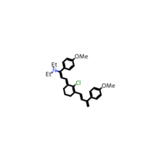 C=C(/C=C/C1=C(Cl)C(=C/C=C(\c2ccc(OC)cc2)N(CC)CC)/CCC1)c1ccc(OC)cc1